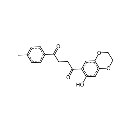 Cc1ccc(C(=O)CCC(=O)c2cc3c(cc2O)OCCO3)cc1